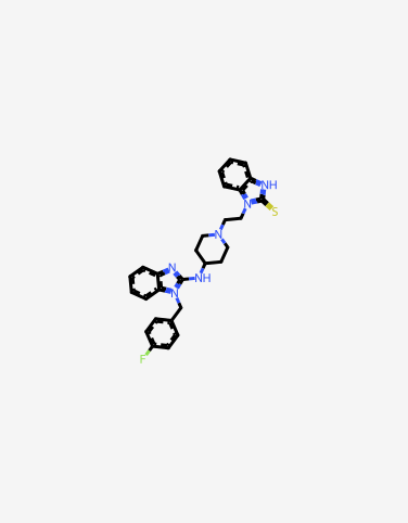 Fc1ccc(Cn2c(NC3CCN(CCn4c(=S)[nH]c5ccccc54)CC3)nc3ccccc32)cc1